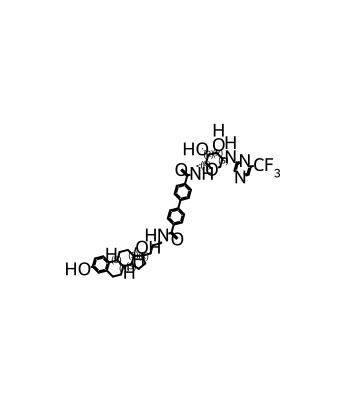 C[C@]12CC[C@@H]3c4ccc(O)cc4CC[C@H]3[C@@H]1CC[C@@]2(O)CCCNC(=O)c1ccc(-c2ccc(C(=O)NC[C@H]3OC[C@H](Nc4cncc(C(F)(F)F)n4)[C@@H](O)[C@H]3O)cc2)cc1